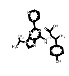 CC(c1ccc(O)cc1)[C@H](Nc1nc(-c2cccnc2)nc2c1ncn2C(C)C)C(=O)O